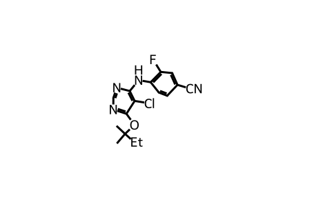 CCC(C)(C)Oc1ncnc(Nc2ccc(C#N)cc2F)c1Cl